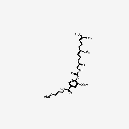 CCCCOCCCNC(=O)c1cnc(OC(=O)NCC(=O)OC/C=C(\C)CCC=C(C)C)c(OC)c1